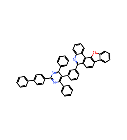 c1ccc(-c2ccc(-c3nc(-c4ccccc4)c(-c4cccc(-c5nc6ccccc6c6c5ccc5c7ccccc7oc56)c4)c(-c4ccccc4)n3)cc2)cc1